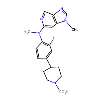 CN(c1cc2c(cn1)ncn2C)c1ccc(C2CCN(C(=O)O)CC2)cc1F